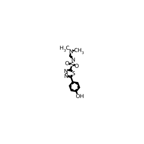 CN(C)/C=N/S(=O)(=O)c1nnc(-c2ccc(O)cc2)s1